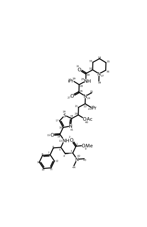 COC(=O)[C@H](CC(Cc1ccccc1)NC(=O)c1csc(C(CC(C(C)C)N(C)C(=O)C(NC(=O)C2CCCCN2C)C(C)C)OC(C)=O)n1)N(C)C